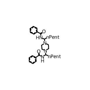 CCCCCC(NC(=O)c1ccccc1)N1CCN(C(CCCCC)NC(=O)c2ccccc2)CC1